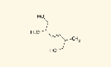 CC(C=CC(C)CO)CO